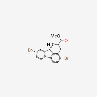 COC(=O)C(C)Cc1c(Br)ccc2c1Cc1cc(Br)ccc1-2